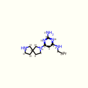 CC(C)CNc1cc(N2CCC3(CCNC3)C2)nc(N)n1